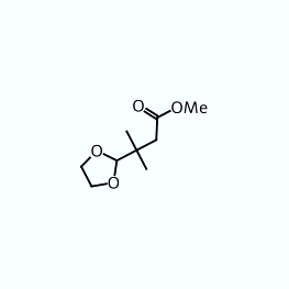 COC(=O)CC(C)(C)C1OCCO1